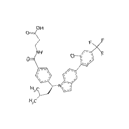 CC(C)C[C@@H](c1ccc(C(=O)NCCC(=O)O)cc1)n1ccc2cc(-c3ccc(C(F)(F)F)cc3Cl)ccc21